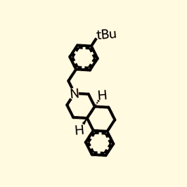 CC(C)(C)c1ccc(CN2CC[C@H]3c4ccccc4CC[C@@H]3C2)cc1